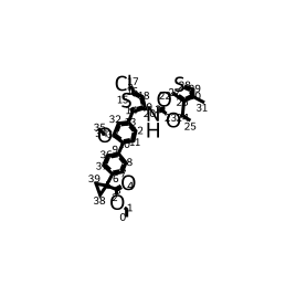 CCOC(=O)C1(c2ccc(-c3ccc(-c4sc(Cl)cc4NC(=O)OC(C)c4cscc4C)cc3OC)cc2)CC1